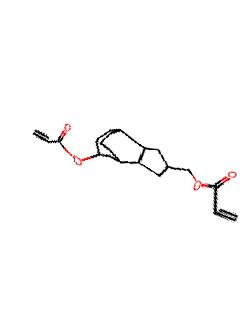 C=CC(=O)OCC1CC2C3CC(OC(=O)C=C)C(C3)C2C1